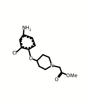 COC(=O)CN1CCC(Oc2ccc(N)cc2Cl)CC1